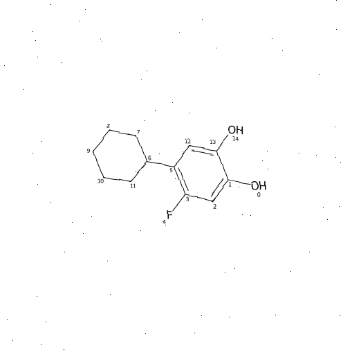 Oc1cc(F)c(C2CCCCC2)cc1O